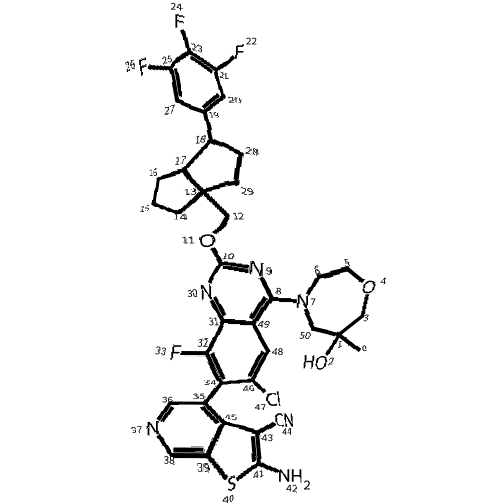 CC1(O)COCCN(c2nc(OCC34CCCC3C(c3cc(F)c(F)c(F)c3)CC4)nc3c(F)c(-c4cncc5sc(N)c(C#N)c45)c(Cl)cc23)C1